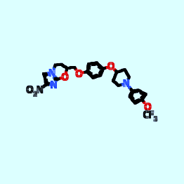 O=[N+]([O-])c1cn2c(n1)OC(COc1ccc(OC3CCN(c4ccc(OC(F)(F)F)cc4)CC3)cc1)CC2